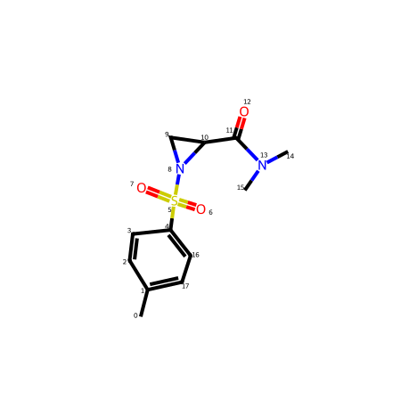 Cc1ccc(S(=O)(=O)N2CC2C(=O)N(C)C)cc1